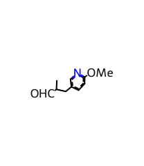 COc1ccc(CC(C)C=O)cn1